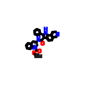 CC(C)(C)OC(=O)NC[C@H](Cc1ccccc1)NC(=O)c1c(-c2ccccc2)[nH]c2c1ccc1cnccc12